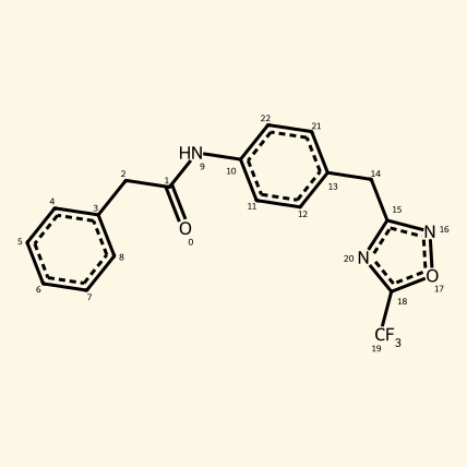 O=C(Cc1ccccc1)Nc1ccc(Cc2noc(C(F)(F)F)n2)cc1